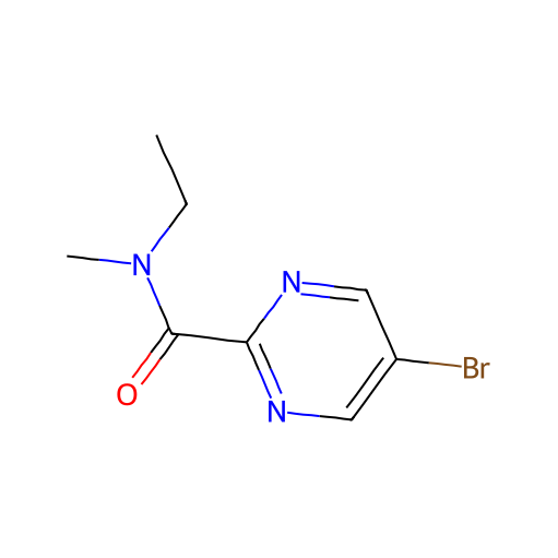 CCN(C)C(=O)c1ncc(Br)cn1